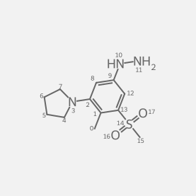 Cc1c(N2CCCC2)cc(NN)cc1S(C)(=O)=O